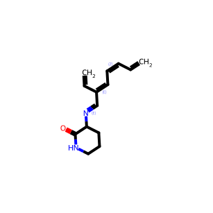 C=C\C=C/C=C(C=C)/C=N/C1CCCNC1=O